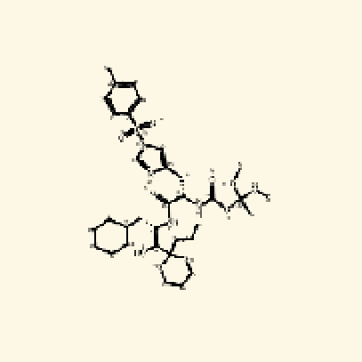 CCCC1(C(O)[C@H](CC2CCCCC2)NC(=O)[C@H](Cc2cn(S(=O)(=O)c3ccc(C)cc3)cn2)NC(=O)OC(C)(OC)OC)SCCCS1